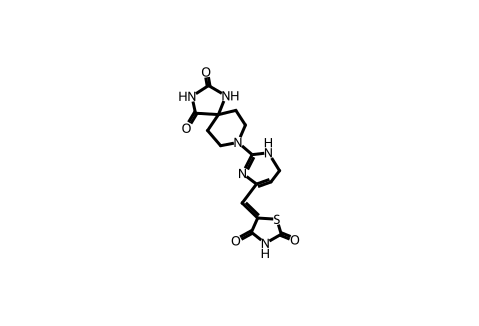 O=C1NC(=O)C2(CCN(C3=NC(/C=C4\SC(=O)NC4=O)=CCN3)CC2)N1